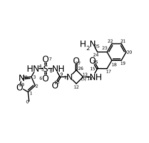 Cc1cc(NS(=O)(=O)NC(=O)N2C[C@H](NC(=O)Cc3ccccc3CN)C2=O)no1